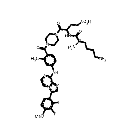 COc1ccc(-c2cnc3c(Nc4ccc(C(=O)N5CCN(C(=O)C(CCC(=O)O)NC(=O)[C@H](N)CCCCN)CC5)c(C)c4)nccn23)c(F)c1F